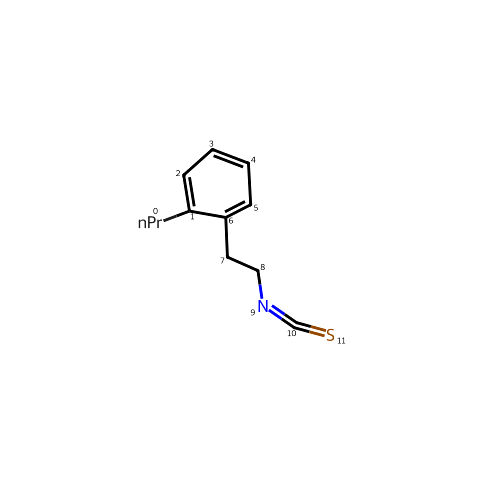 CCCc1ccccc1CCN=C=S